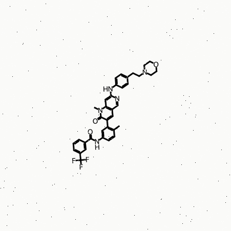 Cc1ccc(NC(=O)c2cccc(C(F)(F)F)c2)cc1-c1cc2cnc(Nc3ccc(CCN4CCOCC4)cc3)cc2n(C)c1=O